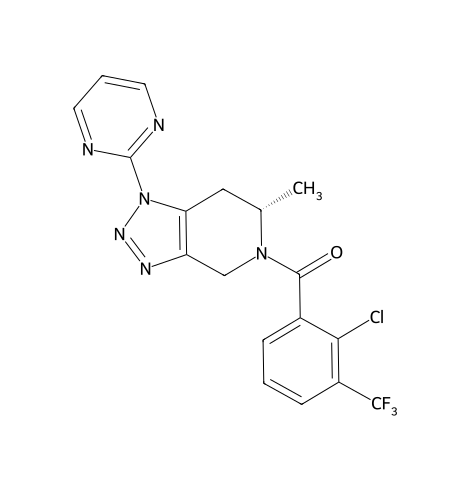 C[C@H]1Cc2c(nnn2-c2ncccn2)CN1C(=O)c1cccc(C(F)(F)F)c1Cl